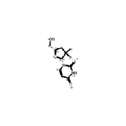 CC1(F)C[C@@H](CO)O[C@H]1n1ccc(=O)[nH]c1=S